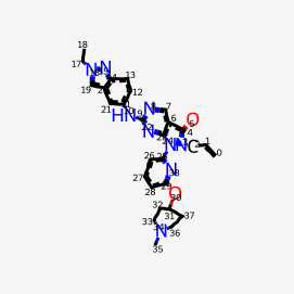 C=CCn1c(=O)c2cnc(Nc3ccc4nn(CC)cc4c3)nc2n1-c1cccc(OC2CCN(C)CC2)n1